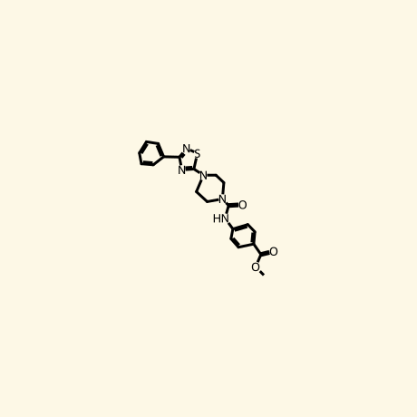 COC(=O)c1ccc(NC(=O)N2CCN(c3nc(-c4ccccc4)ns3)CC2)cc1